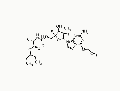 CCOc1nc(N)nc2c1ncn2[C@@H]1O[C@](F)(CO[PH](=O)N[C@@H](C)C(=O)OC(CC)CC)[C@@H](O)[C@@]1(C)F